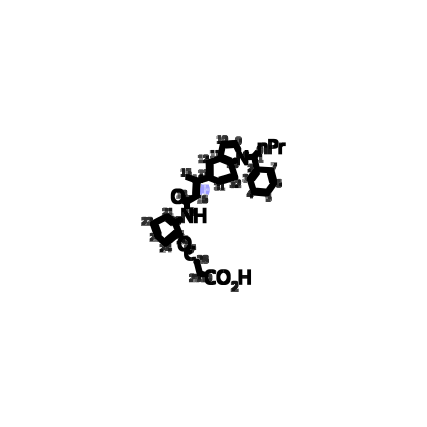 CCCC(c1ccccc1)n1ccc2cc(/C(C)=C/C(=O)Nc3ccccc3OCCCC(=O)O)ccc21